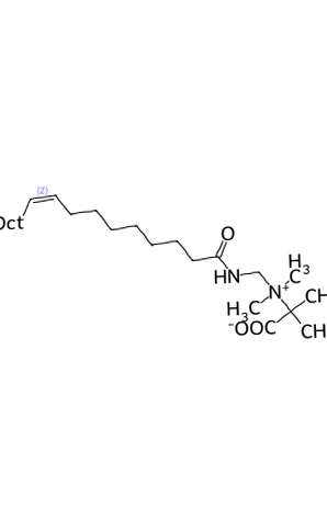 CCCCCCCC/C=C\CCCCCCCC(=O)NC[N+](C)(C)C(C)(C)C(=O)[O-]